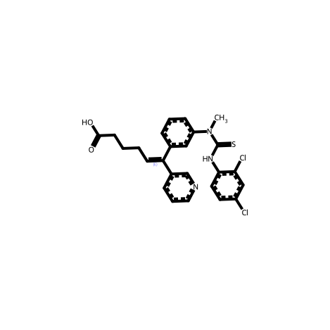 CN(C(=S)Nc1ccc(Cl)cc1Cl)c1cccc(/C(=C\CCCC(=O)O)c2cccnc2)c1